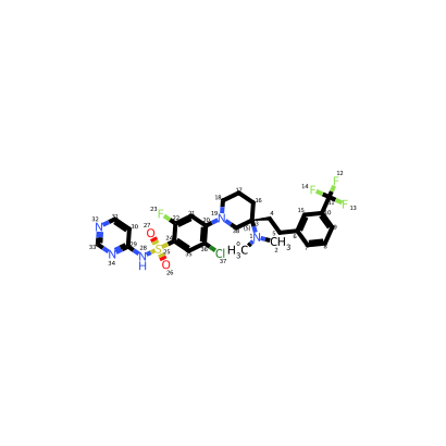 CN(C)[C@@]1(CCc2cccc(C(F)(F)F)c2)CCCN(c2cc(F)c(S(=O)(=O)Nc3ccncn3)cc2Cl)C1